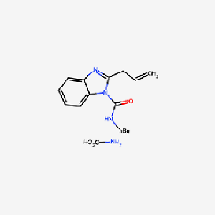 C=CCc1nc2ccccc2n1C(=O)NCCCC.NC(=O)O